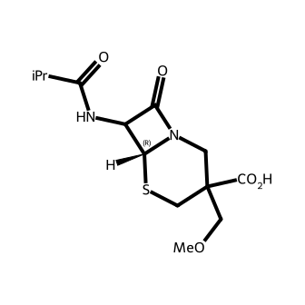 COCC1(C(=O)O)CS[C@@H]2C(NC(=O)C(C)C)C(=O)N2C1